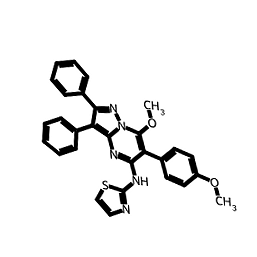 COc1ccc(-c2c(Nc3nccs3)nc3c(-c4ccccc4)c(-c4ccccc4)nn3c2OC)cc1